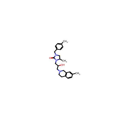 Cc1ccc(CN2CC(C)N(CC(O)CN3CCc4ccc(C)cc4C3)C2=O)cc1